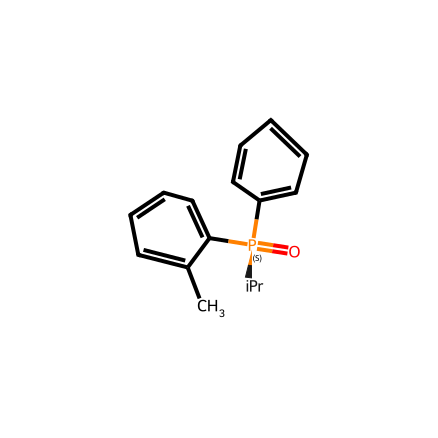 Cc1ccccc1[P@@](=O)(c1ccccc1)C(C)C